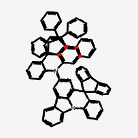 c1ccc(-c2cccc(-c3ccccc3N(c3cc4c5c(c3)c3ccccc3n5-c3ccccc3C43c4ccccc4-c4ccccc43)c3cccc4c3-c3ccccc3C4(c3ccccc3)c3ccccc3)c2)cc1